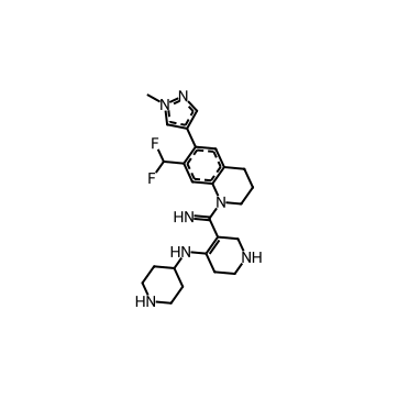 Cn1cc(-c2cc3c(cc2C(F)F)N(C(=N)C2=C(NC4CCNCC4)CCNC2)CCC3)cn1